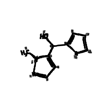 Cn1nccc1C(O)c1cccs1